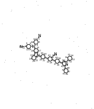 N#Cc1ccc(N(c2ccc(C#N)cc2)c2ccc3c(c2)c2ccccc2n3-c2ccc(-c3ccc(-c4ccc(-c5cc(-c6ccccc6)nc(-c6ccccc6)n5)cc4)c(C#N)c3)cc2)cc1